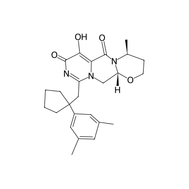 Cc1cc(C)cc(C2(Cc3nc(=O)c(O)c4n3C[C@H]3OCC[C@H](C)N3C4=O)CCCC2)c1